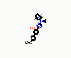 COc1ncc(-c2ccc(-c3ncc(N(C4CC4)[C@H]4C[C@]5(C)CC[C@@](C)(N5)[C@H]4F)nn3)c(O)c2)cc1F